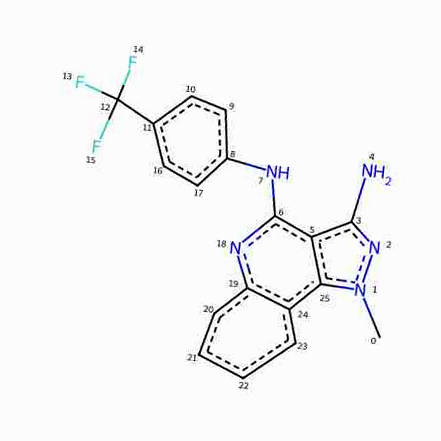 Cn1nc(N)c2c(Nc3ccc(C(F)(F)F)cc3)nc3ccccc3c21